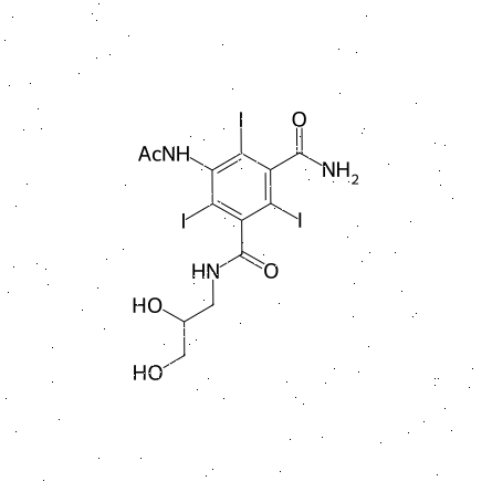 CC(=O)Nc1c(I)c(C(N)=O)c(I)c(C(=O)NCC(O)CO)c1I